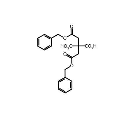 O=C(CC(CC(=O)OCc1ccccc1)(C(=O)O)C(=O)O)OCc1ccccc1